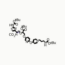 CC(C)(C)OC(=O)NCCC[n+]1ccc(Oc2ccc(OCC(O/N=C(\C(=O)O)c3csc(NC(=O)OC(C)(C)C)n3)C(=O)OC(C)(C)C)cn2)cc1